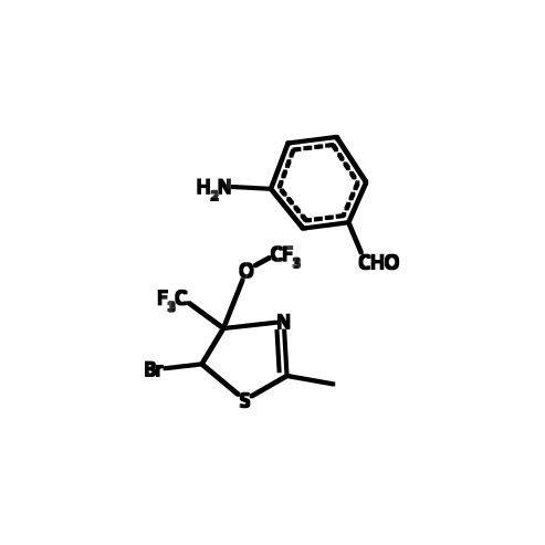 CC1=NC(OC(F)(F)F)(C(F)(F)F)C(Br)S1.Nc1cccc(C=O)c1